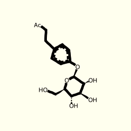 CC(=O)CCc1ccc(O[C@@H]2O[C@H](CO)[C@@H](O)[C@H](O)[C@H]2O)cc1